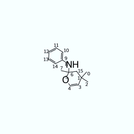 CC1(C)C=COC(C)(Nc2ccccc2)C1